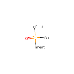 CCCCCP(=O)(CCCCC)C(C)CC